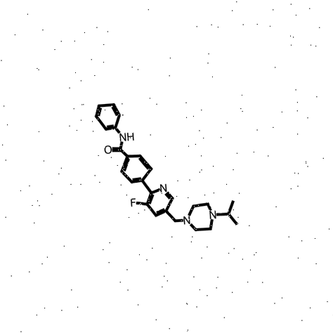 CC(C)N1CCN(Cc2cnc(-c3ccc(C(=O)Nc4[c]cccc4)cc3)c(F)c2)CC1